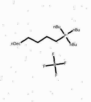 CCCCCCCCCCCCCC[P+](CCCC)(CCCC)CCCC.F[B-](F)(F)F